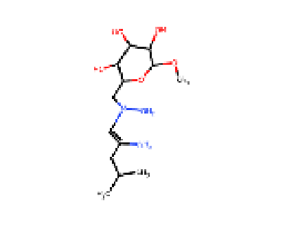 COC1OC(CN(N)/C=C(\N)CC(C)C)C(O)C(O)C1O